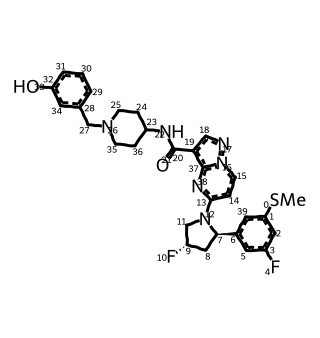 CSc1cc(F)cc([C@H]2C[C@H](F)CN2c2ccn3ncc(C(=O)NC4CCN(Cc5cccc(O)c5)CC4)c3n2)c1